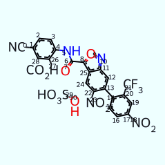 N#Cc1ccc(NC(=O)c2onc3cc(-c4ccc([N+](=O)[O-])cc4C(F)(F)F)c([N+](=O)[O-])cc23)c(C(=O)O)c1.O=S(=O)(O)O